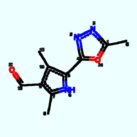 Cc1nnc(-c2[nH]c(C)c(C=O)c2C)o1